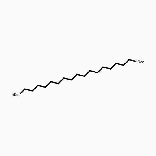 CCCCCCCCCCCCCCCCCC[CH]CCCCCCCCCCCCCCCCCC